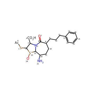 CC(=O)SC1C(C(=O)O)N2C(=O)C(CCCc3ccccc3)CCC(N)C2[S+]1[O-]